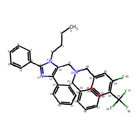 CCCCn1c(-c2ccccc2)nc(-c2ccccc2)c1CN(Cc1ccccc1)Cc1ccc(C(F)(F)F)c(F)c1